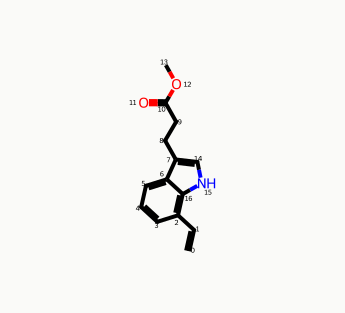 C=Cc1cccc2c(CCC(=O)OC)c[nH]c12